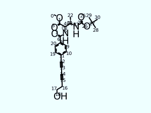 COC(=O)[C@@H](NC(=O)c1ccc(C#CC#CCCO)cc1)[C@@H](C)NC(=O)OC(C)(C)C